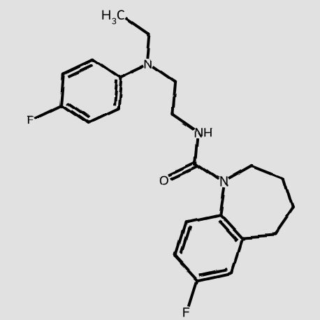 CCN(CCNC(=O)N1CCCCc2cc(F)ccc21)c1ccc(F)cc1